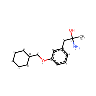 NC(O)(Cc1cccc(OCC2CCCCC2)c1)C(F)(F)F